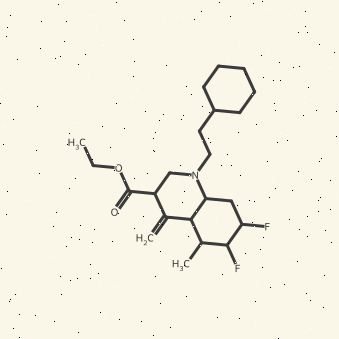 C=C1C(C(=O)OCC)CN(CCC2CCCCC2)C2CC(F)C(F)C(C)C12